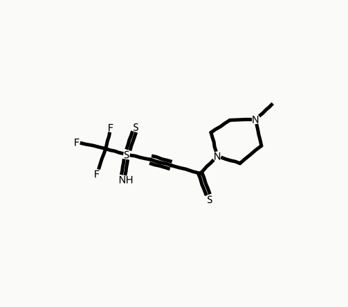 CN1CCN(C(=S)C#CS(=N)(=S)C(F)(F)F)CC1